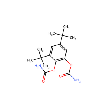 CC(C)(C)c1cc(OC(N)=O)c(OC(N)=O)c(C(C)(C)C)c1